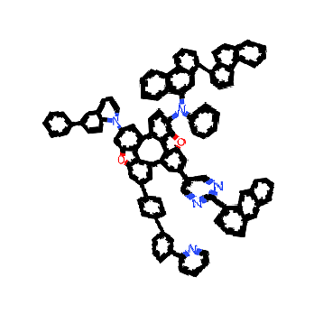 C1=CN(c2cc3oc4cc(-c5ccc(-c6cccc(-c7ccccn7)c6)cc5)cc5c6cc(-c7cnc(-c8cccc9cc%10ccccc%10cc89)nc7)cc7oc8c(N(c9ccccc9)c9cc%10c(-c%11cccc%12c%11ccc%11ccccc%11%12)cccc%10c%10ccccc9%10)ccc(c(c2)c3c45)c8c76)C2C=CC(c3ccccc3)=CC2=C1